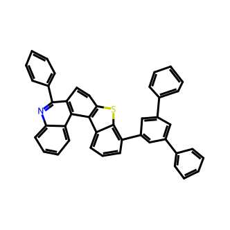 c1ccc(-c2cc(-c3ccccc3)cc(-c3cccc4c3sc3ccc5c(-c6ccccc6)nc6ccccc6c5c34)c2)cc1